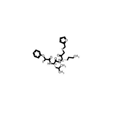 CCCC[C@H](NC(=O)[C@H](CC(C)C)NC(=O)C(F)Oc1ccccc1)C(=O)CSCc1ccco1